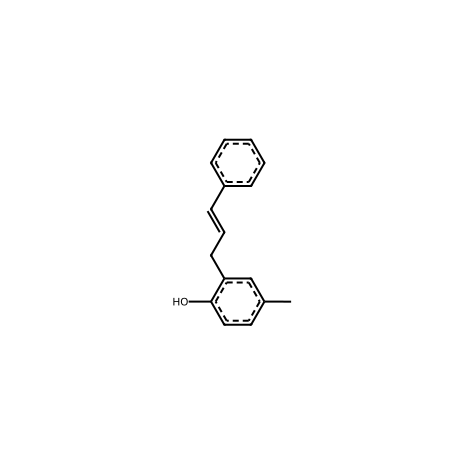 Cc1ccc(O)c(C/C=C/c2ccccc2)c1